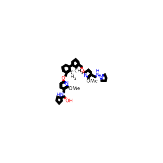 COc1nc(OCc2cccc(C3CC=CC(COc4ccc(CNC5(CO)CCCC5)c(OC)n4)=C3C)c2C)ccc1CNN1CCCC1